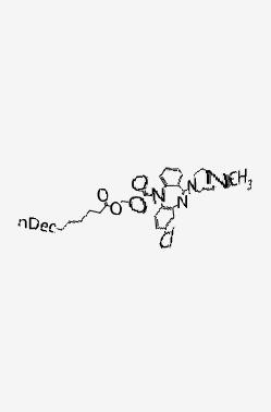 CCCCCCCCCCCCCCCC(=O)OCOC(=O)N1c2ccc(Cl)cc2N=C(N2CCN(C)CC2)c2ccccc21